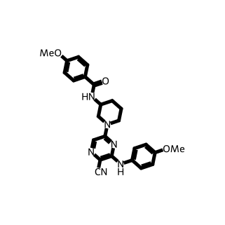 COc1ccc(Nc2nc(N3CCCC(NC(=O)c4ccc(OC)cc4)C3)cnc2C#N)cc1